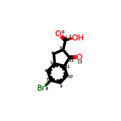 O=C(O)C1Cc2cc(Br)ccc2C1=O